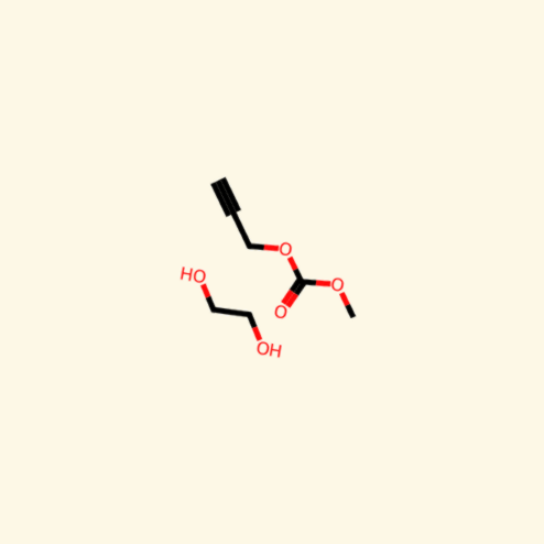 C#CCOC(=O)OC.OCCO